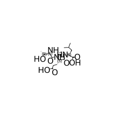 CC(C)C[C@H](NC(=O)[C@H](CCC(=O)O)NC(=O)[C@@H](N)[C@@H](C)O)C(=O)O